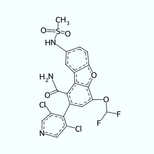 CS(=O)(=O)Nc1ccc2oc3c(OC(F)F)cc(-c4c(Cl)cncc4Cl)c(C(N)=O)c3c2c1